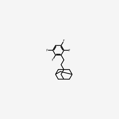 Fc1cc(F)c(F)c(CCC23CC4CC(CC(C4)C2)C3)c1F